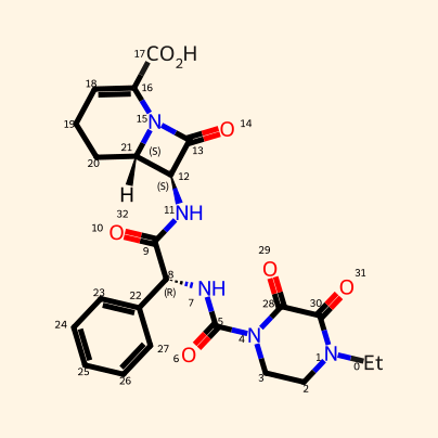 CCN1CCN(C(=O)N[C@@H](C(=O)N[C@@H]2C(=O)N3C(C(=O)O)=CCC[C@@H]23)c2ccccc2)C(=O)C1=O